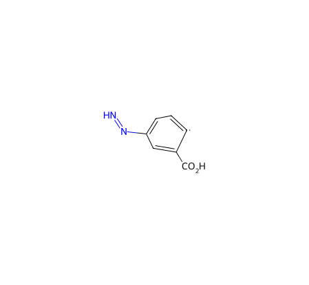 N=Nc1cc[c]c(C(=O)O)c1